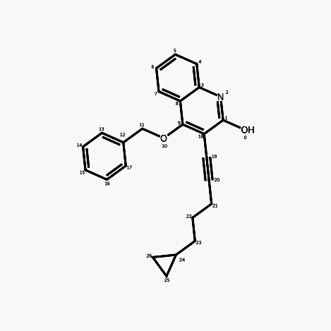 Oc1nc2ccccc2c(OCc2ccccc2)c1C#CCCCC1CC1